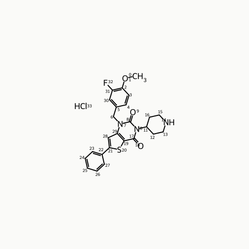 COc1ccc(Cn2c(=O)n(C3CCNCC3)c(=O)c3sc(-c4ccccc4)cc32)cc1F.Cl